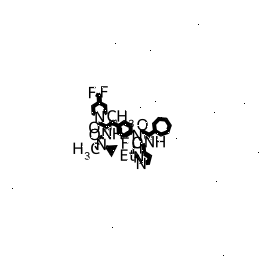 CCn1nccc1C(=O)N[C@H](C(=O)Nc1ccc([C@H](C)[C@@H](NC(=O)N(C)C2CC2)C(=O)N2CCC(=C(F)F)CC2)cc1F)C1CCCCCC1